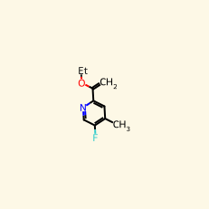 C=C(OCC)c1cc(C)c(F)cn1